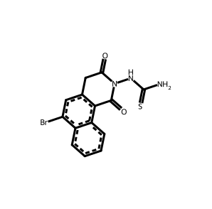 NC(=S)NN1C(=O)Cc2cc(Br)c3ccccc3c2C1=O